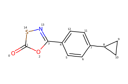 O=c1oc(-c2ccc(C3CC3)cc2)ns1